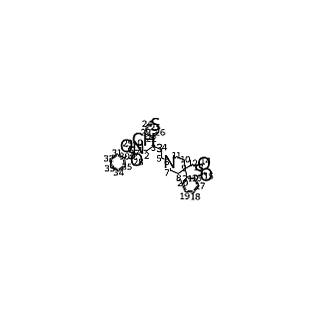 CN(CC(CCN1CCC2(CC1)CS(=O)(=O)c1ccccc12)c1ccsc1)S(=O)(=O)c1ccccc1